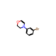 Brc1cccc(N2C=COCC2)c1